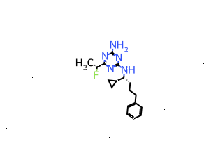 C[C@@H](F)c1nc(N)nc(N[C@H](CCCc2ccccc2)C2CC2)n1